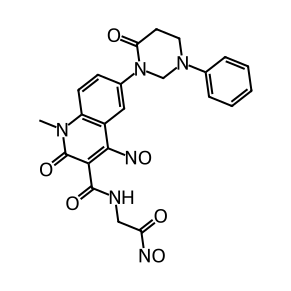 Cn1c(=O)c(C(=O)NCC(=O)N=O)c(N=O)c2cc(N3CN(c4ccccc4)CCC3=O)ccc21